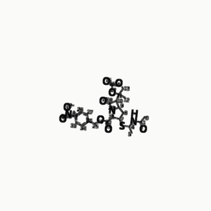 CC(=O)NC(C)SC1CC2C(C3(C)COC(=O)O3)C(=O)N2C1C(=O)OCc1ccc([N+](=O)[O-])cc1